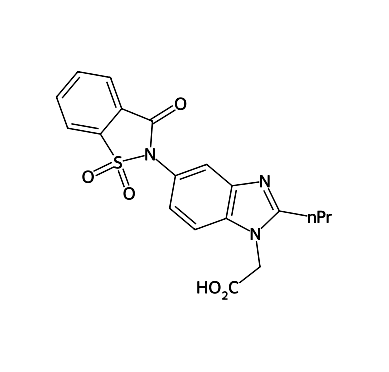 CCCc1nc2cc(N3C(=O)c4ccccc4S3(=O)=O)ccc2n1CC(=O)O